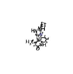 CCN/C=C(\C=N)c1cccc2c1N[C@H](C)CC(=O)N2